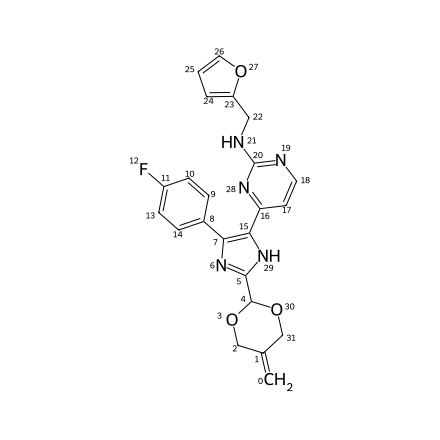 C=C1COC(c2nc(-c3ccc(F)cc3)c(-c3ccnc(NCc4ccco4)n3)[nH]2)OC1